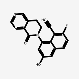 C#Cc1c(F)ccc2cc(O)cc(N3CCc4cncnc4C3=O)c12